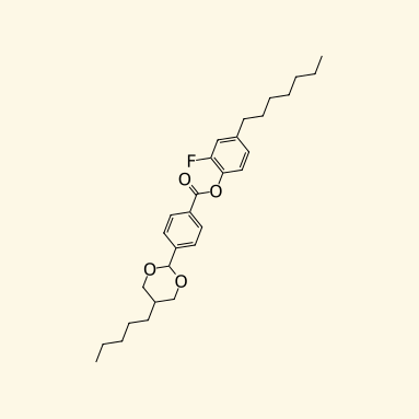 CCCCCCCc1ccc(OC(=O)c2ccc(C3OCC(CCCCC)CO3)cc2)c(F)c1